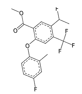 COC(=O)c1cc(C(C)F)c(C(F)(F)F)cc1Oc1ccc(F)cc1C